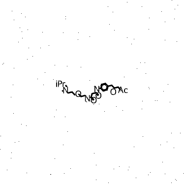 CC(=O)CC(=O)Cc1ccc(N(C)C(=O)CC(=O)N(C)CCOCCCN(C)CC(C)C)cc1